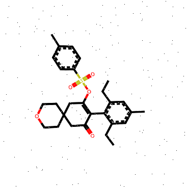 CCc1cc(C)cc(CC)c1C1=C(OS(=O)(=O)c2ccc(C)cc2)CC2(CCOCC2)CC1=O